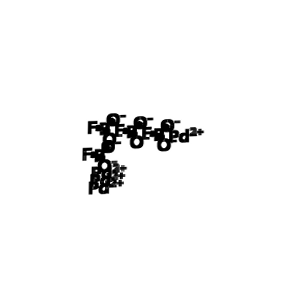 [O-]B([O-])F.[O-]B([O-])F.[O-]B([O-])F.[O-]B([O-])F.[Pd+2].[Pd+2].[Pd+2].[Pd+2]